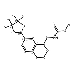 COC(=O)NCC1OCCc2ccc(B3OC(C)(C)C(C)(C)O3)cc21